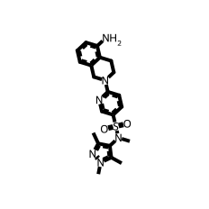 Cc1nn(C)c(C)c1N(C)S(=O)(=O)c1ccc(N2CCc3c(N)cccc3C2)nc1